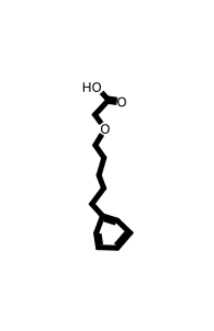 O=C(O)COCCCCCc1ccccc1